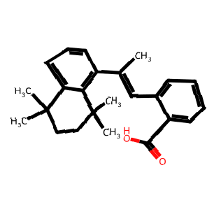 CC(=Cc1ccccc1C(=O)O)c1cccc2c1C(C)(C)CCC2(C)C